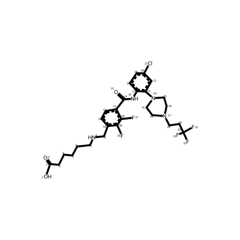 O=C(O)CCCCCNCc1ccc(C(=O)Nc2ccc(Cl)cc2N2CCN(CCC(F)(F)F)CC2)c(F)c1F